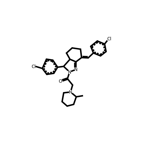 CC1CCCCN1CC(=O)N1N=C2/C(=C/c3ccc(Cl)cc3)CCCC2C1c1ccc(Cl)cc1